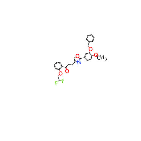 COc1ccc(-c2nc(CCC(=O)c3ccccc3OCC(F)F)co2)cc1OCc1ccccc1